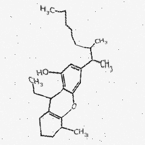 CCCCCC(C)C(C)c1cc(O)c2c(c1)OC1=C(CCCC1C)C2CC